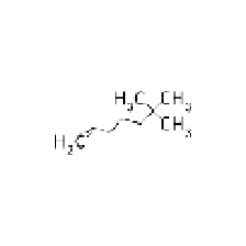 C=CCCCC(C)(C)C